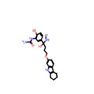 CCNC(O)(CCCOc1ccc2c3c([nH]c2c1)CCCC3)c1ccc(O)c(NC(N)=O)c1